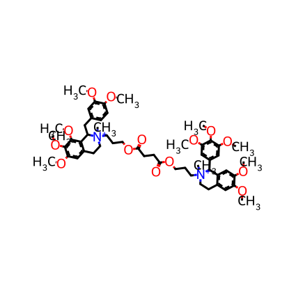 COc1ccc(CC2c3c(cc(OC)c(OC)c3OC)CC[N+]2(C)CCCOC(=O)CCC(=O)OCCC[N+]2(C)CCc3cc(OC)c(OC)cc3C2c2cc(OC)c(OC)c(OC)c2)cc1OC